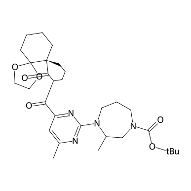 Cc1cc(C(=O)C2CCC[C@@]3(CCCCC34OCCO4)C2=O)nc(N2CCCN(C(=O)OC(C)(C)C)CC2C)n1